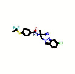 CC(C#N)(Cn1cc2ccc(Cl)cc2n1)NC(=O)c1ccc(SC(C)(F)F)cc1